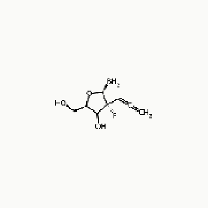 B[C@@H]1O[C@H](CO)C(O)[C@]1(F)C=C=C